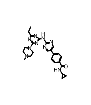 CCc1nc(Nc2ncc(-c3ccc(C(=O)NC4CC4)cc3)cn2)nc(N2CCN(C)CC2)n1